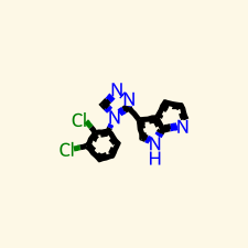 Clc1cccc(-n2cnnc2-c2c[nH]c3ncccc23)c1Cl